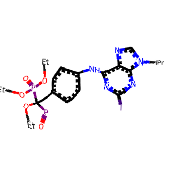 CCOC(P=O)(c1ccc(Nc2nc(I)nc3c2ncn3C(C)C)cc1)P(=O)(OCC)OCC